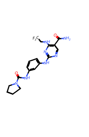 NC(=O)c1cnc(Nc2cccc(NC(=O)N3CCCC3)c2)nc1NCC(F)(F)F